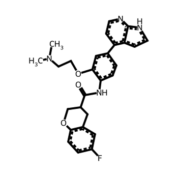 CN(C)CCOc1cc(-c2ccnc3[nH]ccc23)ccc1NC(=O)C1COc2ccc(F)cc2C1